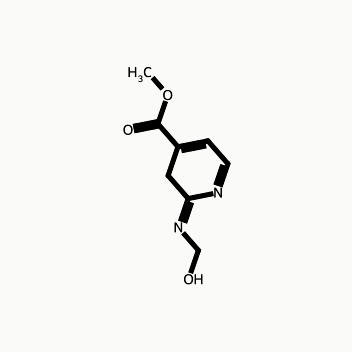 COC(=O)C1=CC=N/C(=N\CO)C1